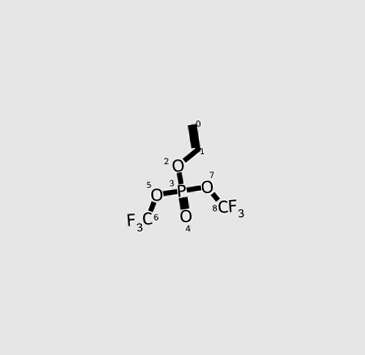 C=COP(=O)(OC(F)(F)F)OC(F)(F)F